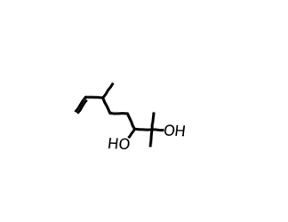 C=CC(C)CCC(O)C(C)(C)O